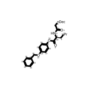 CCCCCCCCCCCC(=O)N[C@@H](CC(C)C)C(=O)Oc1ccc(OCc2ccccc2)cc1